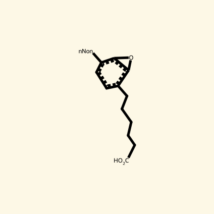 CCCCCCCCCc1ccc(CCCCCC(=O)O)c2c1O2